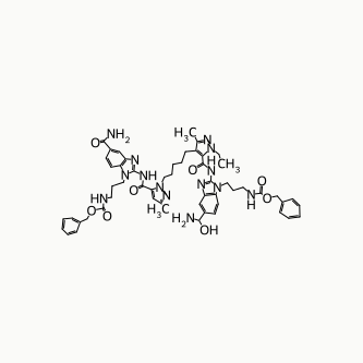 CCn1nc(C)c(CCCCCn2nc(C)cc2C(=O)Nc2nc3cc(C(N)=O)ccc3n2CCCNC(=O)OCc2ccccc2)c1C(=O)Nc1nc2cc(C(N)O)ccc2n1CCCNC(=O)OCc1ccccc1